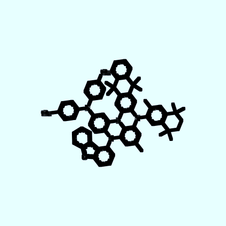 Cc1cc2c3c(c1)N(c1cccc4oc5ccccc5c14)c1ccc(N(c4ccc(C(C)(C)C)cc4)c4ccc(C(C)(C)C)cc4)cc1B3c1cc3c(cc1N2c1cc2c(cc1C)C(C)(C)CCC2(C)C)C(C)(C)c1ccccc1C3(C)C